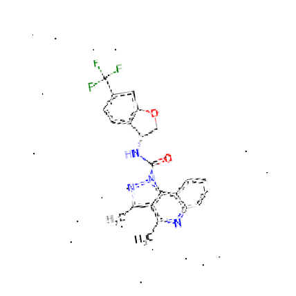 Cc1nc2ccccc2c2c1c(C)nn2C(=O)N[C@H]1COc2cc(C(F)(F)F)ccc21